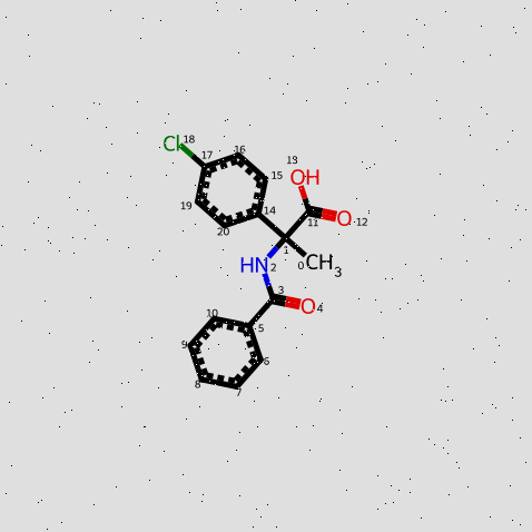 CC(NC(=O)c1ccccc1)(C(=O)O)c1ccc(Cl)cc1